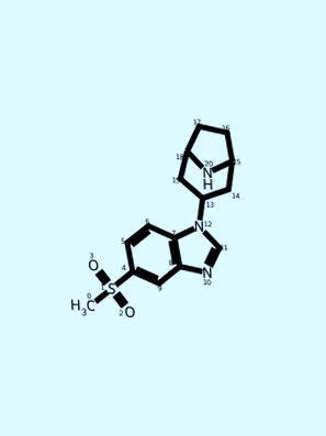 CS(=O)(=O)c1ccc2c(c1)ncn2C1CC2CCC(C1)N2